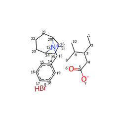 Br.CCC(CC(=O)[O-])C(C)C.C[N+]1(Cc2ccccc2)C2CCCC1CC2